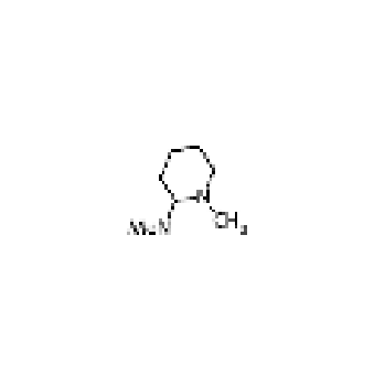 CNC1CCCCN1C